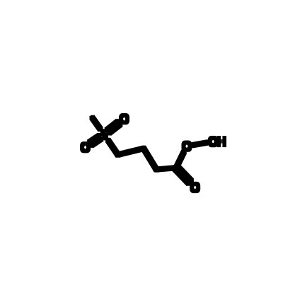 CS(=O)(=O)CCCC(=O)OO